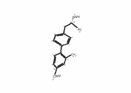 CN[C@@H](Cc1ccc(-c2ccc(OC)cc2C)cc1)C(C)=O